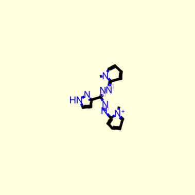 Cn1cccc/c1=N/N=C(\N=N\c1cccc[n+]1C)c1cc[nH]n1